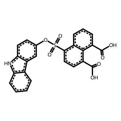 O=C(O)c1cccc2c(S(=O)(=O)Oc3ccc4[nH]c5ccccc5c4c3)ccc(C(=O)O)c12